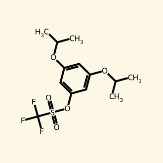 CC(C)Oc1cc(OC(C)C)cc(OS(=O)(=O)C(F)(F)F)c1